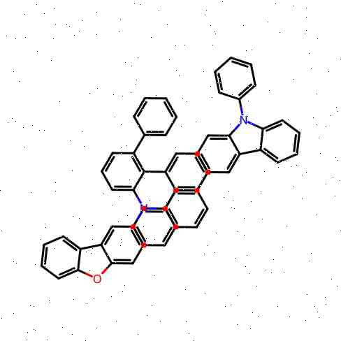 c1ccc(-c2ccccc2-c2c(-c3ccccc3)cccc2N(c2cccc(-c3ccc4c(c3)c3ccccc3n4-c3ccccc3)c2)c2ccc3oc4ccccc4c3c2)cc1